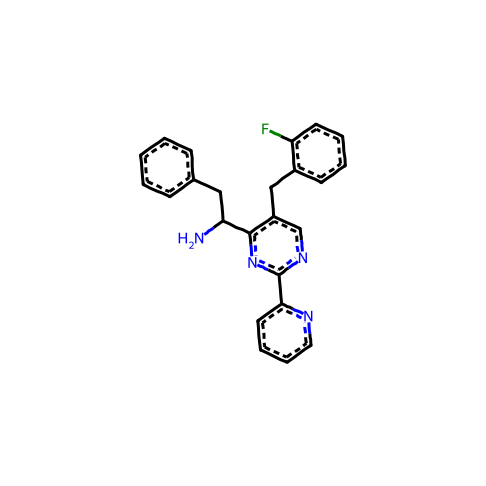 NC(Cc1ccccc1)c1nc(-c2ccccn2)ncc1Cc1ccccc1F